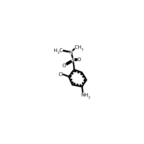 CN(C)S(=O)(=O)c1ccc(N)cc1Cl